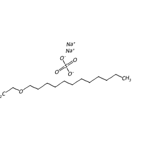 O=S(=O)([O-])[O-].[CH2]COCCCCCCCCCCCC.[Na+].[Na+]